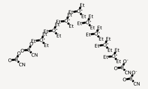 CC[O+](CC)CC.CC[O+](CC)CC.CC[O+](CC)CC.CC[O+](CC)CC.CC[O+](CC)CC.CC[O+](CC)CC.CC[O+](CC)CC.CC[O+](CC)CC.N#CB([O-])[O-].N#CB([O-])[O-].N#CB([O-])[O-].N#CB([O-])[O-]